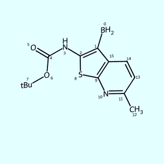 Bc1c(NC(=O)OC(C)(C)C)sc2nc(C)ccc12